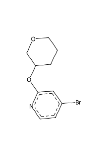 Brc1ccnc(OC2CCCOC2)c1